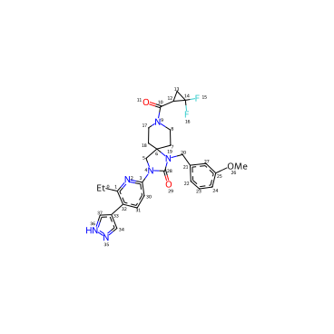 CCc1nc(N2CC3(CCN(C(=O)C4CC4(F)F)CC3)N(Cc3cccc(OC)c3)C2=O)ccc1-c1cn[nH]c1